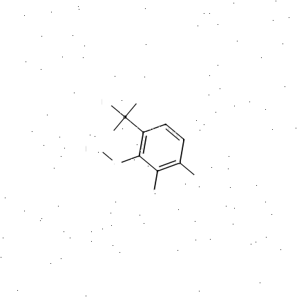 COc1c(C(C)(C)O)ccc(C)c1C